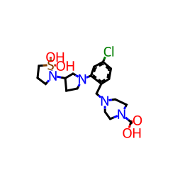 O=C(O)N1CCN(Cc2ccc(Cl)cc2N2CCC(N3CCCS3(O)O)C2)CC1